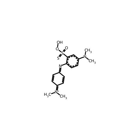 CN(C)c1ccc(N=C2C=CC(=[N+](C)C)C=C2)c(S(=O)(=S)OO)c1